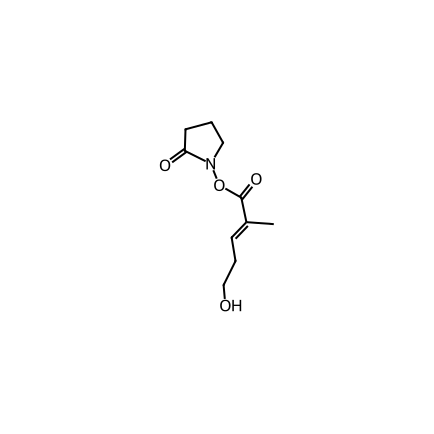 CC(=CCCO)C(=O)ON1CCCC1=O